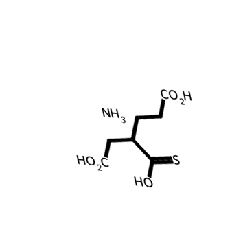 N.O=C(O)CCC(CC(=O)O)C(O)=S